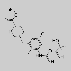 Cc1c(CN2CCN(C(=O)OC(C)C)[C@@H](C)C2)cc(Cl)cc1NC(=N)OC(=N)[C@@H](C)O